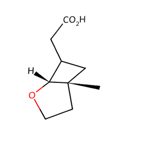 C[C@@]12CCO[C@@H]1C(CC(=O)O)C2